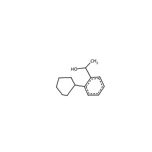 CC(O)c1ccccc1C1CCCCC1